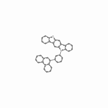 c1cc(-c2cc3ccccc3c3ccccc23)cc(-n2c3ccccc3c3cc4oc5ccccc5c4cc32)c1